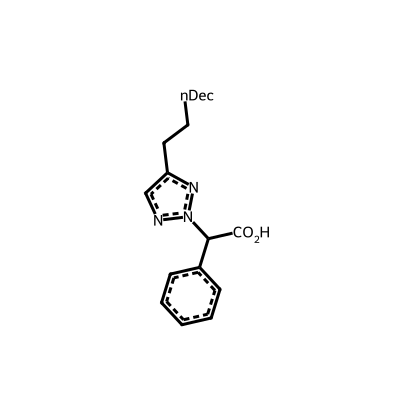 CCCCCCCCCCCCc1cnn(C(C(=O)O)c2ccccc2)n1